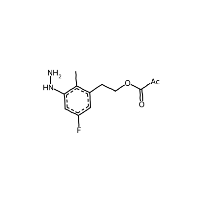 CC(=O)C(=O)OCCc1cc(F)cc(NN)c1C